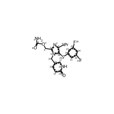 CC(C)c1nc(COC(N)=O)n(Cc2ccc(=O)[nH]c2)c1Sc1cc(F)cc(F)c1